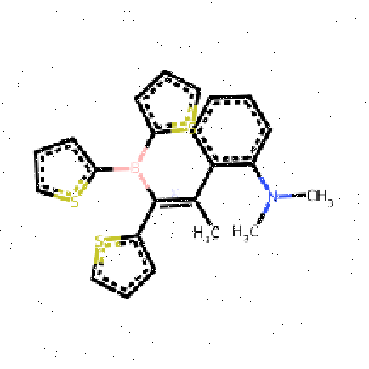 C/C(=C(/B(c1cccs1)c1cccs1)c1cccs1)c1ccccc1N(C)C